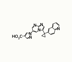 O=C(O)c1cnn(-c2cnc3ncc(C4(c5ccc6ncccc6c5)CC4)n3c2)c1